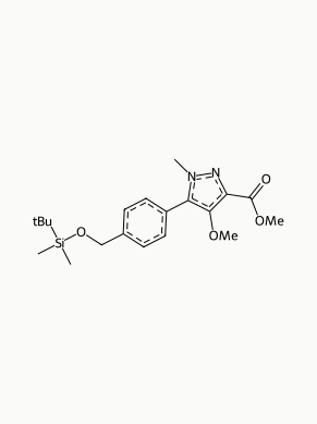 COC(=O)c1nn(C)c(-c2ccc(CO[Si](C)(C)C(C)(C)C)cc2)c1OC